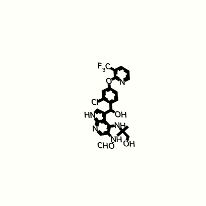 CC(C)(CO)Nc1c(NC=O)cnc2[nH]cc(C(O)c3ccc(Oc4ncccc4C(F)(F)F)cc3Cl)c12